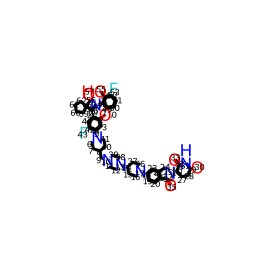 COc1cc(N2CCC(CN3CCN(C4CCN(c5ccc6c(c5)CN([C@H]5CCC(=O)NC5=O)C6=O)CC4)CC3)CC2)c(F)cc1[C@@H]1N(c2cccc(F)c2O)C(=O)C12CCCC2